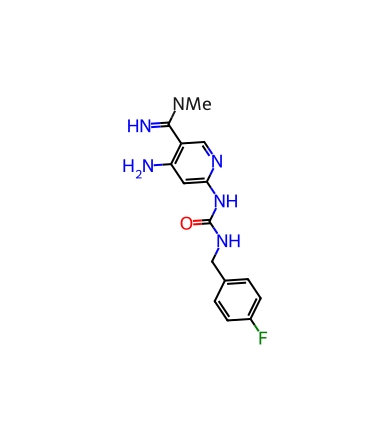 CNC(=N)c1cnc(NC(=O)NCc2ccc(F)cc2)cc1N